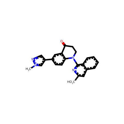 Cn1cc(-c2ccc3c(c2)C(=O)CCN3c2nc(C(=O)O)cc3ccccc23)cn1